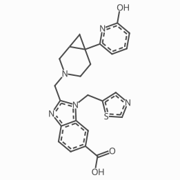 O=C(O)c1ccc2nc(CN3CCC4(c5cccc(O)n5)CC4C3)n(Cc3cncs3)c2c1